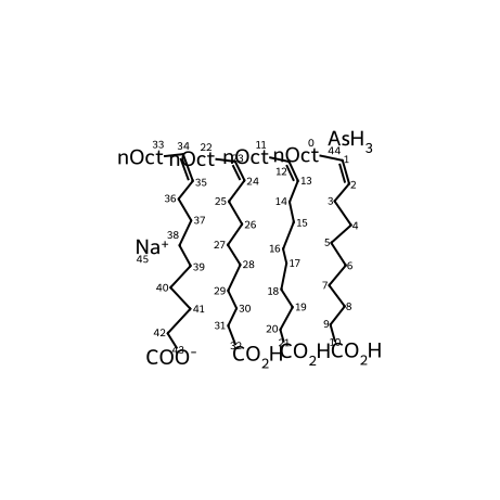 CCCCCCCC/C=C\CCCCCCCC(=O)O.CCCCCCCC/C=C\CCCCCCCC(=O)O.CCCCCCCC/C=C\CCCCCCCC(=O)O.CCCCCCCC/C=C\CCCCCCCC(=O)[O-].[AsH3].[Na+]